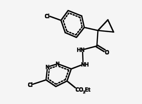 CCOC(=O)c1cc(Cl)nnc1NNC(=O)C1(c2ccc(Cl)cc2)CC1